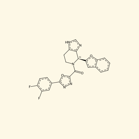 O=C(c1nnc(-c2ccc(F)c(F)c2)o1)N1CCc2[nH]cnc2[C@H]1c1cc2ccccc2o1